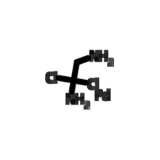 NCC(N)(Cl)Cl.[Pd]